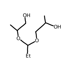 CCC(OCC(C)O)OC(C)CO